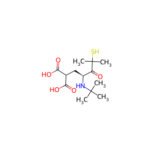 CC(C)(C)N[C@@H](CC(C(=O)O)C(=O)O)C(=O)C(C)(C)S